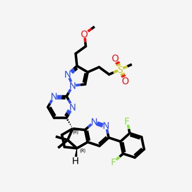 COCCc1nn(-c2nccc([C@]34CC[C@@H](c5cc(-c6c(F)cccc6F)nnc53)C4(C)C)n2)cc1CCS(C)(=O)=O